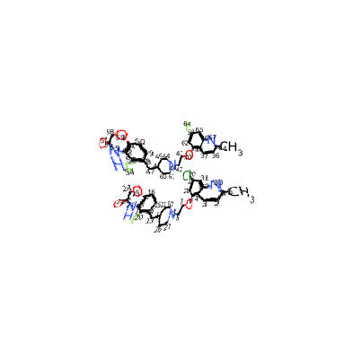 Cc1ccc2c(OCCN3CCC(Cc4ccc5c(c4F)NC(=O)CO5)CC3)cc(Cl)cc2n1.Cc1ccc2c(OCCN3CCC(Cc4ccc5c(c4F)NC(=O)CO5)CC3)cc(F)cc2n1